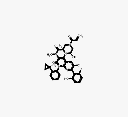 C=CC(=O)N1C[C@@H](C)N2c3c(c(=O)n(-c4ccccc4C4(C)CC4)c4nc(-c5c(O)cccc5F)c(Cl)cc34)N(C)C(=O)[C@H]2C1